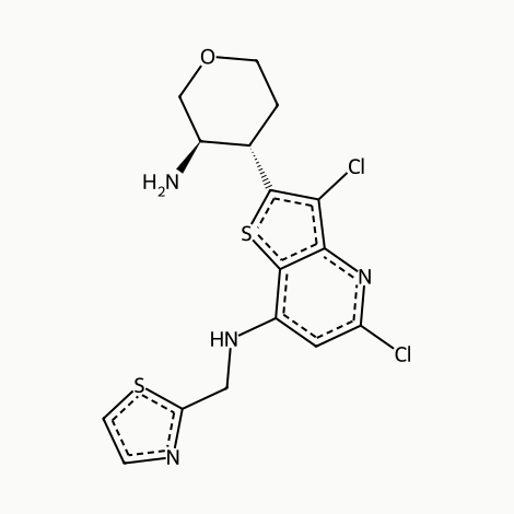 N[C@H]1COCC[C@@H]1c1sc2c(NCc3nccs3)cc(Cl)nc2c1Cl